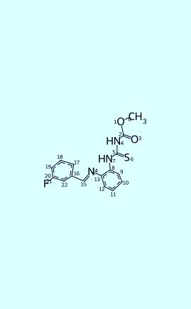 COC(=O)NC(=S)Nc1ccccc1N=Cc1cccc(F)c1